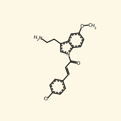 COc1ccc2c(c1)c(CCN)cn2C(=O)C=Cc1ccc(Cl)cc1